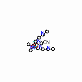 N#Cc1cc(-n2c3cc(-c4ccc(-c5ccccc5)nc4)ccc3c3ccc(-c4ccc(-c5ccccc5)nc4)cc32)c(-c2cc(F)cc(F)c2)c(-n2c3cc(-c4ccc(-c5ccccc5)nc4)ccc3c3ccc(-c4ccc(-c5ccccc5)nc4)cc32)c1